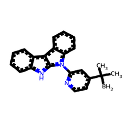 BC(C)(C)c1ccnc(-n2c3ccccc3c3c4ccccc4[nH]c32)c1